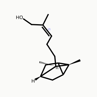 C/C(=C/CC[C@]1(C)[C@H]2CC3C(C2)[C@@]31C)CO